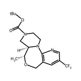 C[C@H]1OCc2cc(C(F)(F)F)cnc2N2CCN(C(=O)OC(C)(C)C)C[C@H]12